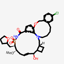 CO[C@H]1C/C=C/[C@H](O)C2CC[C@H]2CN2CCCCc3cc(Cl)ccc3COc3ccc(cc32)C(=O)NS(=O)(=O)[C@@H]1CC1CCCO1